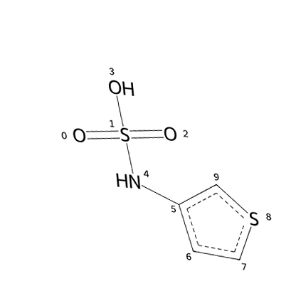 O=S(=O)(O)Nc1ccsc1